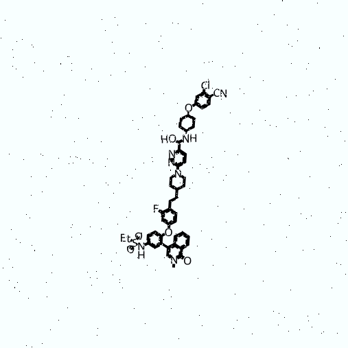 CCS(=O)(=O)Nc1ccc(Oc2ccc(CCC3CCN(c4ccc(C(O)N[C@H]5CC[C@H](Oc6ccc(C#N)c(Cl)c6)CC5)nn4)CC3)c(F)c2)c(-c2cn(C)c(=O)c3ccccc23)c1